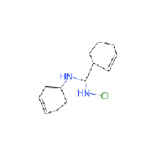 ClNC(NC1CC=CCC1)C1C=CCCC1